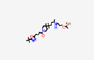 CC(CCC(C)(C)C1(C)CCN(C(=O)CCCc2nnc(C(C)(C)C)o2)CC1)NCCCOC(C)S